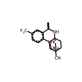 C=C(NC12CCC(C#N)(CC1)CC2)c1cc(C(F)(F)F)ccc1NSC